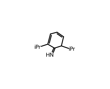 CC(C)C1=CC=CC(C(C)C)C1=N